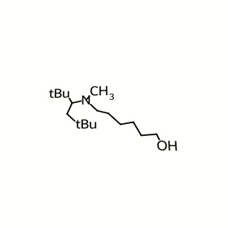 CN(CCCCCCO)C(CC(C)(C)C)C(C)(C)C